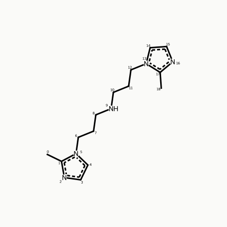 Cc1nccn1CCCNCCCn1ccnc1C